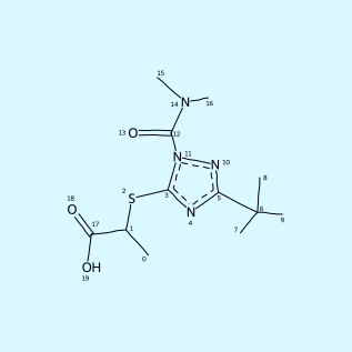 CC(Sc1nc(C(C)(C)C)nn1C(=O)N(C)C)C(=O)O